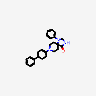 O=C1NCN(c2ccccc2)C12CCN(C1=CCC(c3ccccc3)CC1)CC2